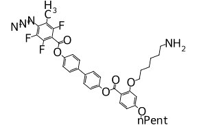 CCCCCOc1ccc(C(=O)Oc2ccc(-c3ccc(OC(=O)c4c(F)c(C)c(N=[N+]=[N-])c(F)c4F)cc3)cc2)c(OCCCCCCN)c1